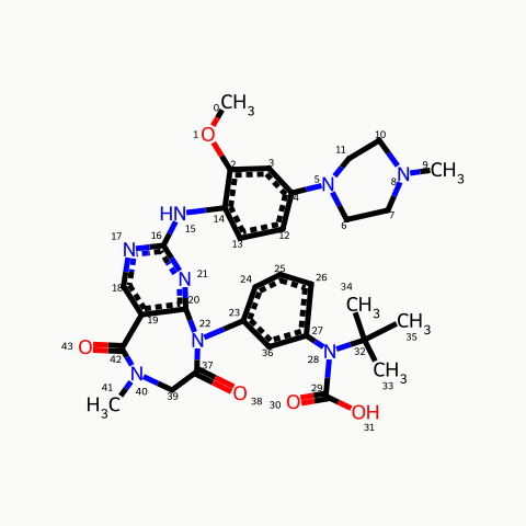 COc1cc(N2CCN(C)CC2)ccc1Nc1ncc2c(n1)N(c1cccc(N(C(=O)O)C(C)(C)C)c1)C(=O)CN(C)C2=O